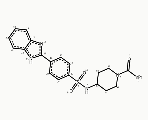 CCCC(=O)N1CCC(NS(=O)(=O)c2ccc(-c3nc4ccccc4[nH]3)cc2)CC1